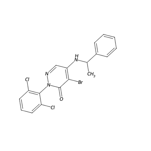 CC(Nc1cnn(-c2c(Cl)cccc2Cl)c(=O)c1Br)c1ccccc1